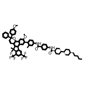 CCCCC[C@H]1CC[C@H]([C@H]2CC[C@H](C(=O)Nc3ccc(C(=O)Nc4ccc(-c5cc6c7c(c8c(c6cc5OC)OC(c5ccccc5)(c5ccc(OC)cc5)C=C8)C(C)(C)c5c-7cc(C(F)(F)F)cc5C(F)(F)F)c(C)c4)cc3)CC2)CC1